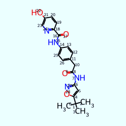 CC(C)(C)c1cc(NC(=O)Cc2ccc(NC(=O)c3ccc(O)cn3)cc2)no1